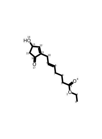 CCOC(=O)CCCC=CCC1=CC(O)CC1=O